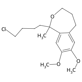 COc1cc2c(cc1OC)C(C)(CCCCCl)OCCC2